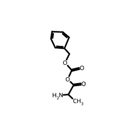 CC(N)C(=O)OC(=O)OCc1ccccc1